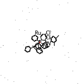 Cc1cc(C)c(N2C=CN(c3c(C)cc(C)cc3C)C2=C2C(Cl)=C(Cl)C=CC2P(=C2C=C(c3ccccc3)c3ccccc32)(c2ccccc2)c2ccccc2)c(C)c1.[Ru]